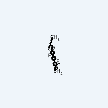 BCOc1ccc(-c2ccc(-c3ccc(C4OCC(CC/C=C/C)CO4)cc3F)cc2)c(F)c1F